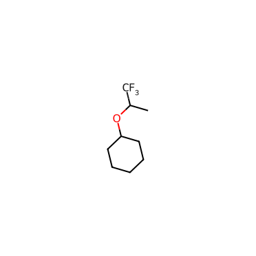 CC(OC1CCCCC1)C(F)(F)F